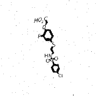 O=C(O)COc1ccc(SCCNS(=O)(=O)c2ccc(Cl)cc2)cc1F